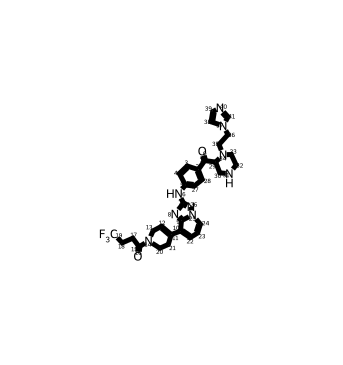 O=C(c1ccc(Nc2nc3c(C4=CCN(C(=O)CCC(F)(F)F)CC4)cccn3n2)cc1)C1CNCCN1CCn1ccnc1